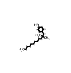 CCCCCCCCCCC(C)(C)Cc1ccc(O)cc1